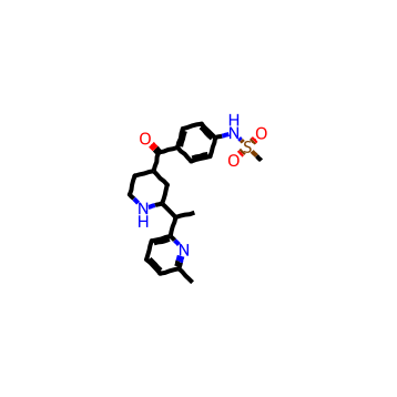 Cc1cccc(C(C)C2CC(C(=O)c3ccc(NS(C)(=O)=O)cc3)CCN2)n1